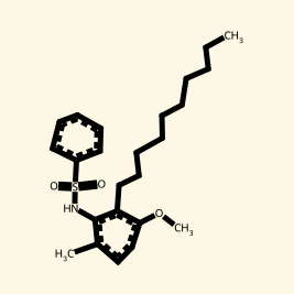 CCCCCCCCCCc1c(OC)ccc(C)c1NS(=O)(=O)c1ccccc1